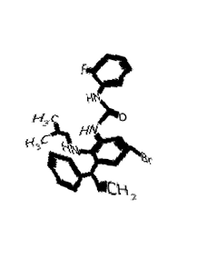 C=CC(c1ccccc1)c1cc(Br)cc(NC(=O)Nc2ccccc2F)c1NCC(C)C